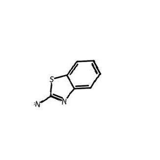 [N]c1nc2ccccc2s1